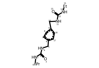 CCCNC(=O)NCc1ccc(CNC(=O)NCC)cc1